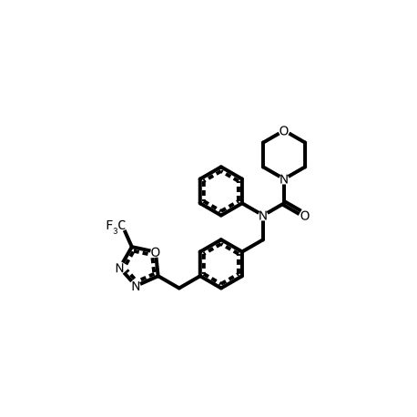 O=C(N1CCOCC1)N(Cc1ccc(Cc2nnc(C(F)(F)F)o2)cc1)c1ccccc1